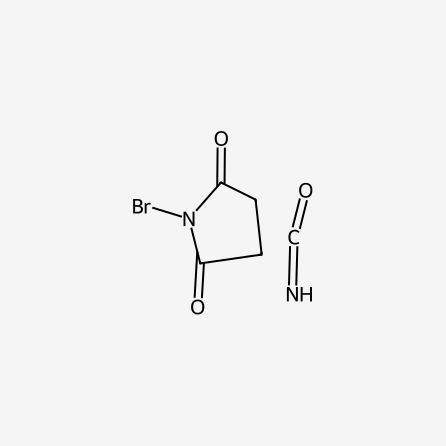 N=C=O.O=C1CCC(=O)N1Br